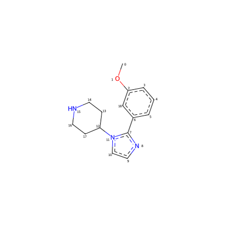 COc1cccc(-c2nccn2C2CCNCC2)c1